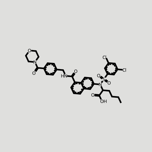 CCCCC(C(=O)O)N(c1ccc2c(C(=O)NCc3ccc(C(=O)N4CCOCC4)cc3)cccc2c1)S(=O)(=O)c1cc(Cl)cc(Cl)c1